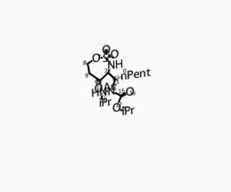 CCCCC[C@@H](C1NS(=O)(=O)OCC[C@H]1OC(C)=O)N(NC(C)C)C(=O)OC(C)C